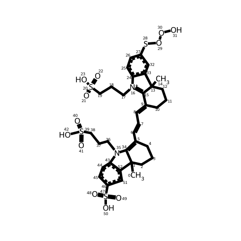 CC12CCCC(/C=C/C=C3\CCCC4(C)C3=[N+](CCCS(=O)(=O)O)c3ccc(SOOO)cc34)=C1N(CCCS(=O)(=O)O)c1ccc(S(=O)(=O)O)cc12